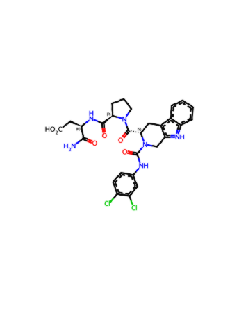 NC(=O)[C@@H](CC(=O)O)NC(=O)[C@H]1CCCN1C(=O)[C@@H]1Cc2c([nH]c3ccccc23)CN1C(=O)Nc1ccc(Cl)c(Cl)c1